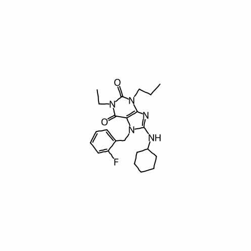 CCCn1c(=O)n(CC)c(=O)c2c1nc(NC1CCCCC1)n2Cc1ccccc1F